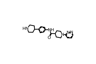 O=C(Nc1ccc(C2CCNCC2)cc1)C1CCN(c2cccnn2)CC1